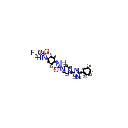 O=C(Nc1ccc(NC(=O)C(F)(F)F)cc1)N1CCN(c2nc(-c3ccccc3)ns2)CC1